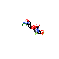 O=C1CCc2c(OCC3(O)CCN(c4cc5c(cc4F)OC(F)(F)O5)CC3)ccc(Cl)c2N1